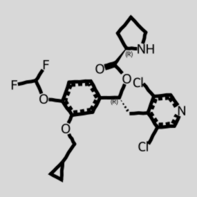 O=C(O[C@H](Cc1c(Cl)cncc1Cl)c1ccc(OC(F)F)c(OCC2CC2)c1)[C@H]1CCCN1